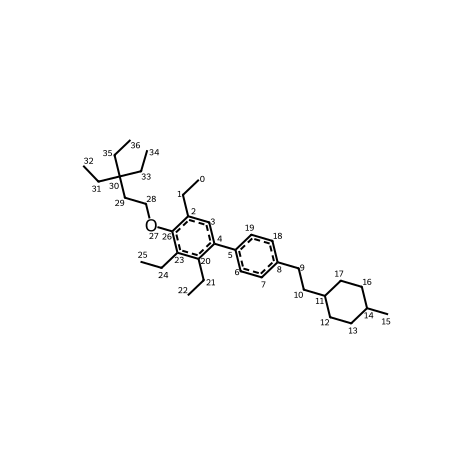 CCc1cc(-c2ccc(CCC3CCC(C)CC3)cc2)c(CC)c(CC)c1OCCC(CC)(CC)CC